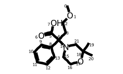 COCCC(C(=O)O)(c1ccccc1)N1CCOC(C)(C)C1